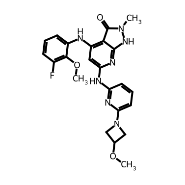 COc1c(F)cccc1Nc1cc(Nc2cccc(N3CC(OC)C3)n2)nc2[nH]n(C)c(=O)c12